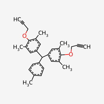 C#CCOc1c(C)cc(C(c2ccc(C)cc2)c2cc(C)c(OCC#C)c(C)c2)cc1C